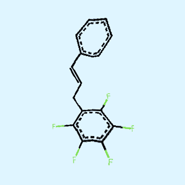 Fc1c(F)c(F)c(CC=Cc2ccccc2)c(F)c1F